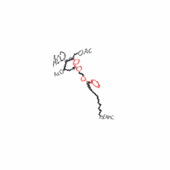 CCCCCCCCCCCCCCCCCC(=O)OCCO[C@H]1CC(OC(C)=O)C(OC(C)=O)[C@@H](COC(C)=O)O1